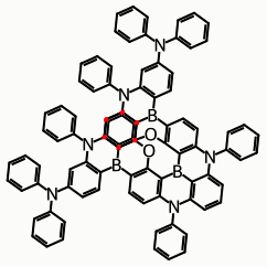 c1ccc(N(c2ccccc2)c2ccc3c(c2)N(c2ccccc2)c2cccc4c2B3c2ccc3c(c2O4)B2c4c(cccc4N(c4ccccc4)c4ccc5c(c42)Oc2cccc4c2B5c2ccc(N(c5ccccc5)c5ccccc5)cc2N4c2ccccc2)N3c2ccccc2)cc1